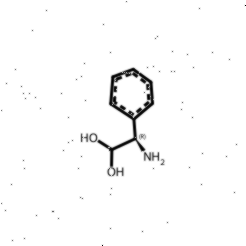 N[C@H](c1ccccc1)C(O)O